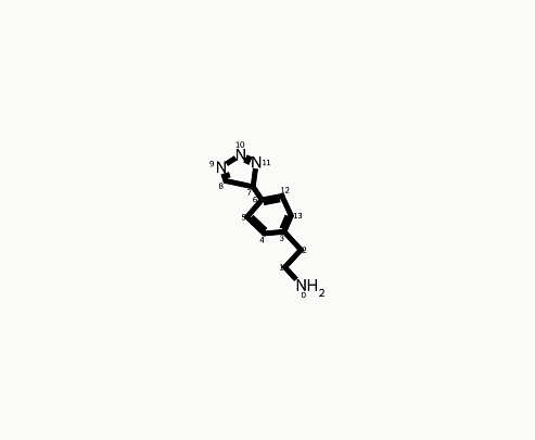 NCCc1ccc(C2C=NN=N2)cc1